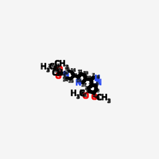 COc1cc2nncc(-c3ccc(C4=CCN(C(=O)OC(C)(C)C)CC4)nc3)c2cc1OC